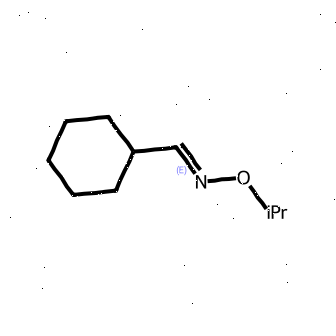 CC(C)O/N=[C]/C1CCCCC1